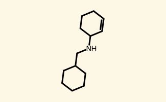 C1=CC(NCC2CCCCC2)CCC1